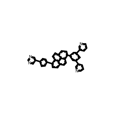 c1cncc(-c2cc(-c3cccnc3)cc(-c3ccc4ccc5c(-c6ccc(-c7cncnc7)cc6)ccc6ccc3c4c65)c2)c1